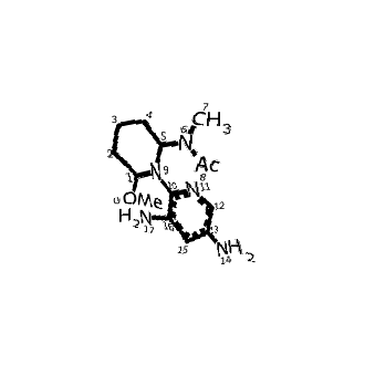 COC1CCCC(N(C)C(C)=O)N1c1ncc(N)cc1N